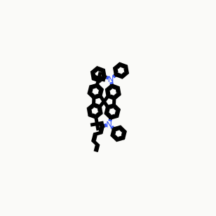 C=C/C=C\C=C(/C)N(c1ccccc1)c1ccc2c(c1)C1(c3cc(N(c4ccccc4)c4ccccc4)ccc3-2)c2cc(C(C)(C)C)ccc2-c2ccc(C(C)(C)C)cc21